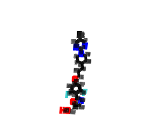 CCc1cnc(N2CCC(CCCOc3cc(F)c(C4=NC[C@H](CO)O4)c(F)c3)CC2)nc1